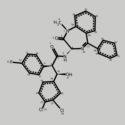 CN1C(=O)[C@@H](NC(=O)[C@H](c2ccc(F)cc2)[C@@H](O)c2ccc(Cl)c(Cl)c2)N=C(c2ccccc2)c2ccccc21